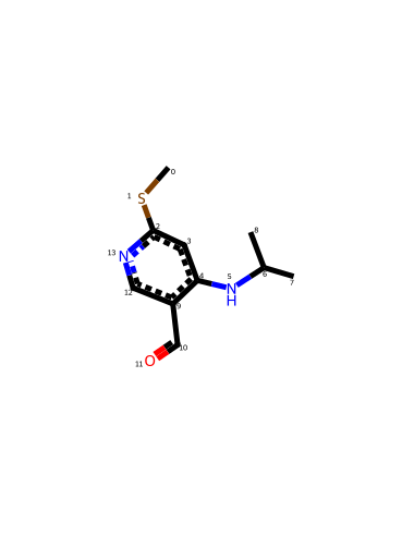 CSc1cc(NC(C)C)c(C=O)cn1